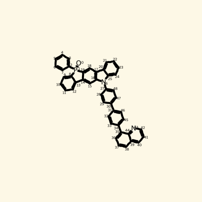 O=P1(c2ccccc2)c2ccccc2-c2cc3c(cc21)c1ccccc1n3-c1ccc(-c2ccc(-c3cccc4cccnc34)cc2)cc1